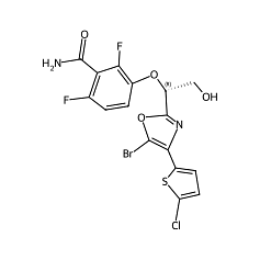 NC(=O)c1c(F)ccc(O[C@H](CO)c2nc(-c3ccc(Cl)s3)c(Br)o2)c1F